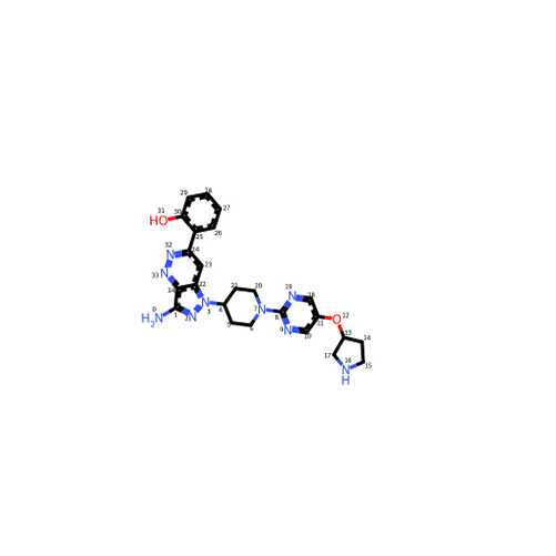 Nc1nn(C2CCN(c3ncc(OC4CCNC4)cn3)CC2)c2cc(-c3ccccc3O)nnc12